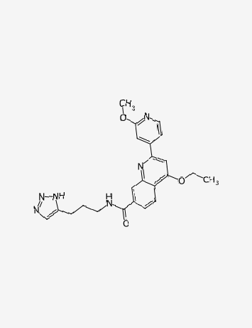 CCOc1cc(-c2ccnc(OC)c2)nc2cc(C(=O)NCCCc3cnn[nH]3)ccc12